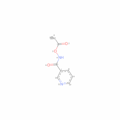 CC(C)(C)C(=O)ONC(=O)c1cccnc1